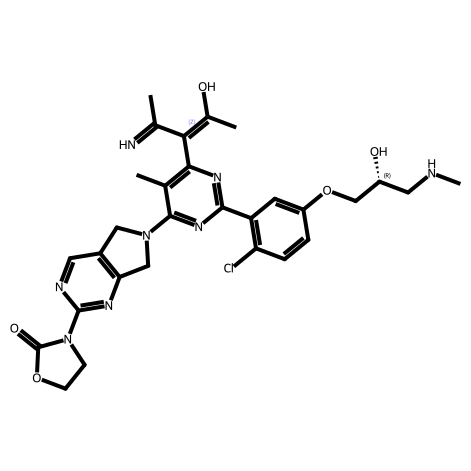 CNC[C@@H](O)COc1ccc(Cl)c(-c2nc(/C(C(C)=N)=C(\C)O)c(C)c(N3Cc4cnc(N5CCOC5=O)nc4C3)n2)c1